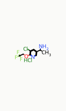 CC(N)c1cnc(OCC(F)(F)F)c(Cl)c1.Cl